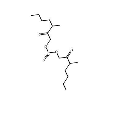 CCCCC(C)C(=O)CO[PH](=O)OCC(=O)C(C)CCCC